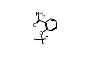 NC(=O)c1ccc[c]c1OC(F)(F)F